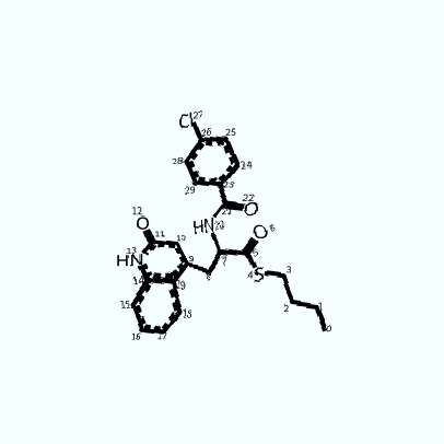 CCCCSC(=O)C(Cc1cc(=O)[nH]c2ccccc12)NC(=O)c1ccc(Cl)cc1